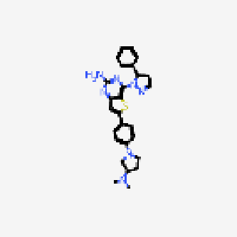 CN(C)C1CCN(c2ccc(-c3cc4nc(N)nc(N5N=CCC5c5ccccc5)c4s3)cc2)C1